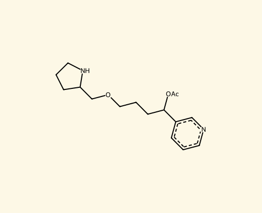 CC(=O)OC(CCCOCC1CCCN1)c1cccnc1